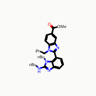 CCCCNc1nc2cccc(-c3nc4cc(C(=O)OC)ccc4n3CC(C)C)c2n1CCCC